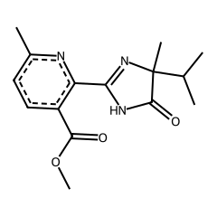 COC(=O)c1ccc(C)nc1C1=NC(C)(C(C)C)C(=O)N1